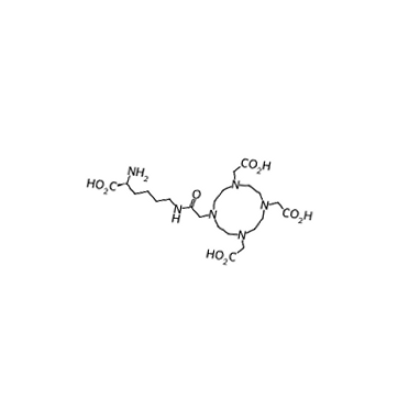 N[C@@H](CCCCNC(=O)CN1CCN(CC(=O)O)CCN(CC(=O)O)CCN(CC(=O)O)CC1)C(=O)O